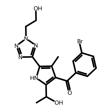 Cc1c(-c2nnn(CCO)n2)[nH]c(C(C)O)c1C(=O)c1cccc(Br)c1